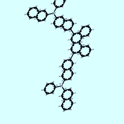 c1ccc(N(c2ccc3ccccc3c2)c2ccc3cc(-c4cc5cc(-c6ccc7cc(N(c8ccccc8)c8ccc9ccccc9c8)ccc7c6)c6ccccc6c5c5ccccc45)ccc3c2)cc1